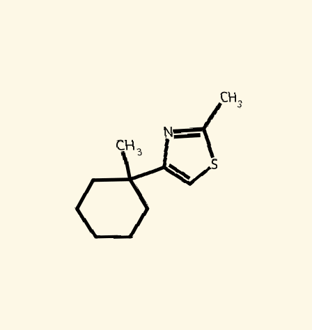 Cc1nc(C2(C)CCCCC2)cs1